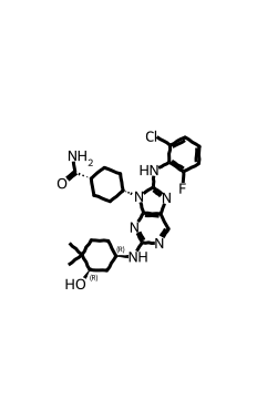 CC1(C)CC[C@@H](Nc2ncc3nc(Nc4c(F)cccc4Cl)n([C@H]4CC[C@@H](C(N)=O)CC4)c3n2)C[C@H]1O